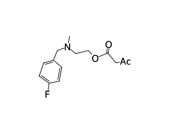 CC(=O)CC(=O)OCCN(C)Cc1ccc(F)cc1